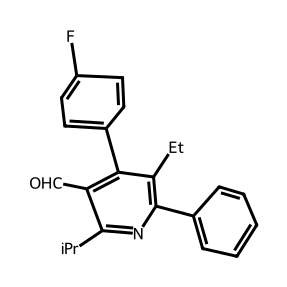 CCc1c(-c2ccccc2)nc(C(C)C)c(C=O)c1-c1ccc(F)cc1